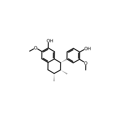 COc1cc([C@H]2c3cc(O)c(OC)cc3C[C@@H](C)[C@H]2C)ccc1O